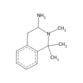 CN1C(N)Cc2ccccc2C1(C)C